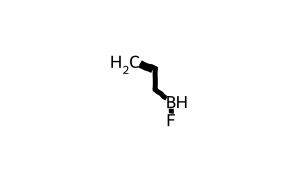 C=CCBF